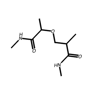 CNC(=O)C(C)COC(C)C(=O)NC